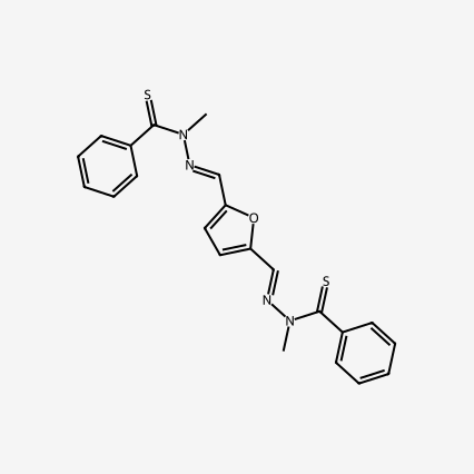 CN(/N=C/c1ccc(/C=N/N(C)C(=S)c2ccccc2)o1)C(=S)c1ccccc1